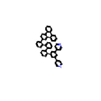 c1ccc(-c2ccccc2-c2ccccc2-c2ccc3c4ccccc4c4ccccc4c3c2)c(-c2cc(-c3ccncc3)cc(-c3ccncc3)c2)c1